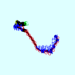 Cc1sc2c(c1C)C(c1ccc(Cl)cc1)=N[C@@H](CC(=O)Nc1ccc(OCCOCCOCCOCCOCCOCCOCCOCCNC(=O)CCNC(=O)c3nc(NC(=O)CCNC(=O)c4cc(NC(=O)c5nc(NC(=O)CCNC(=O)c6cc(NC(=O)c7nccn7C)cn6C)cn5C)cn4C)cn3C)cc1)c1nnc(C)n1-2